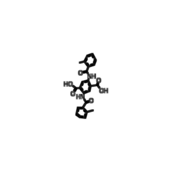 Cc1ccccc1C(=O)Nc1cc(C(=O)O)c(NC(=O)c2ccccc2C)cc1C(=O)O